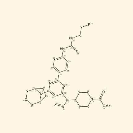 COC(=O)N1CCC(n2ncc3c(N4C5CCC4COC5)nc(-c4ccc(NC(=O)NCCF)cc4)nc32)CC1